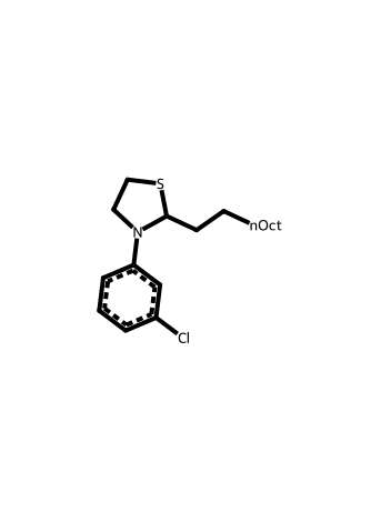 CCCCCCCCCCC1SCCN1c1cccc(Cl)c1